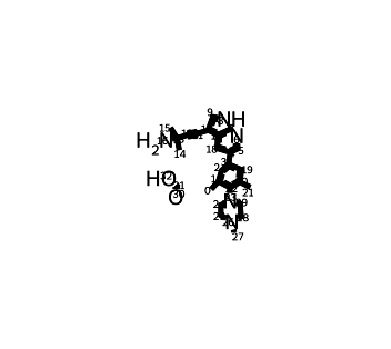 Cc1cc(-c2cnc3[nH]cc(C#CC(C)(C)N)c3c2)cc(C)c1N1CCN(C)CC1.O=CO